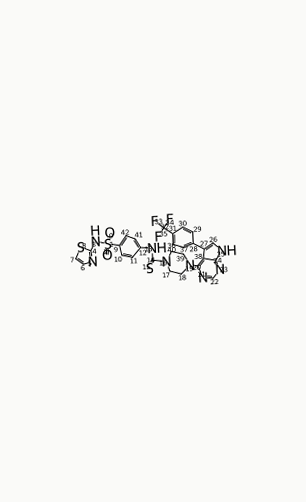 O=S(=O)(Nc1nccs1)c1ccc(NC(=S)N2CCN(c3ncnc4[nH]cc(-c5ccc(C(F)(F)F)cc5)c34)CC2)cc1